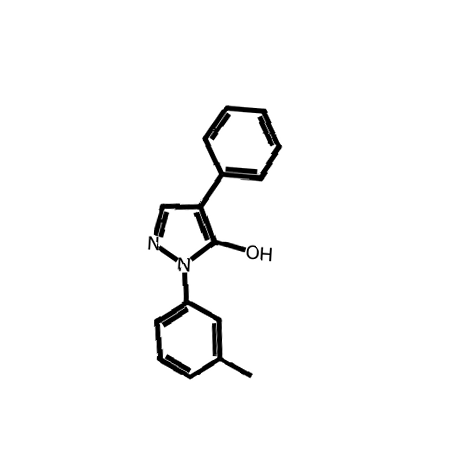 Cc1cccc(-n2ncc(-c3ccccc3)c2O)c1